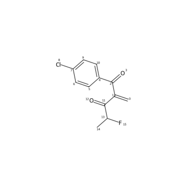 C=C(C(=O)c1ccc(Cl)cc1)C(=O)C(C)F